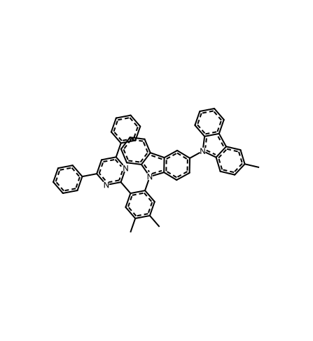 Cc1ccc2c(c1)c1ccccc1n2-c1ccc2c(c1)c1ccccc1n2-c1cc(C)c(C)cc1-c1nc(-c2ccccc2)cc(-c2ccccc2)n1